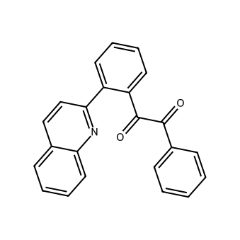 O=C(C(=O)c1ccccc1-c1ccc2ccccc2n1)c1ccccc1